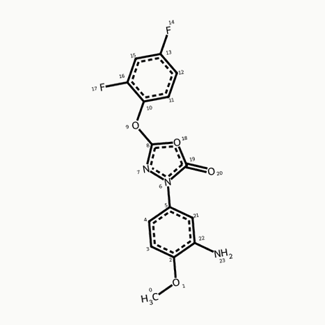 COc1ccc(-n2nc(Oc3ccc(F)cc3F)oc2=O)cc1N